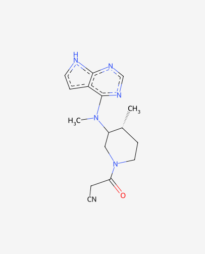 C[C@@H]1CCN(C(=O)CC#N)CC1N(C)c1ncnc2[nH]ccc12